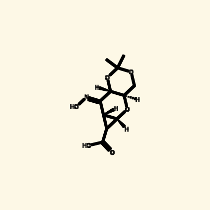 CC1(C)OC[C@H]2O[C@@H]3C(C(=O)O)[C@@H]3C(=NO)[C@@H]2O1